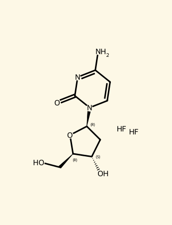 F.F.Nc1ccn([C@H]2C[C@H](O)[C@@H](CO)O2)c(=O)n1